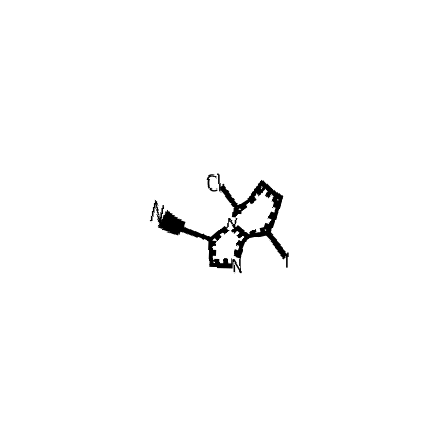 N#Cc1cnc2c(I)ccc(Cl)n12